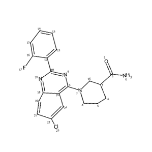 NC(=O)C1CCCN(c2nc(-c3ccccc3F)nc3ccc(Cl)cc23)C1